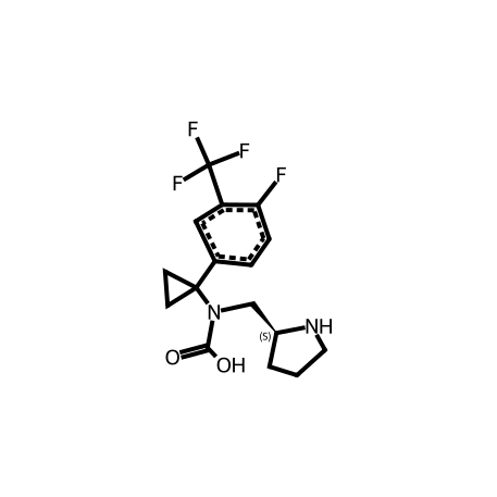 O=C(O)N(C[C@@H]1CCCN1)C1(c2ccc(F)c(C(F)(F)F)c2)CC1